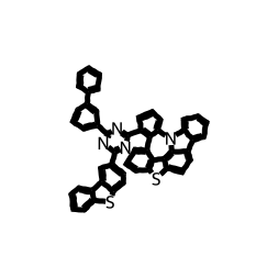 c1ccc(-c2cccc(-c3nc(-c4ccc5sc6ccccc6c5c4)nc(-c4cccc5c4c4cccc6sc7ccc8c9ccccc9n5c8c7c64)n3)c2)cc1